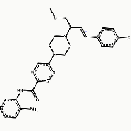 COCC(/C=C/c1ccc(F)cc1)N1CCN(c2cnc(C(=O)Nc3ccccc3N)cn2)CC1